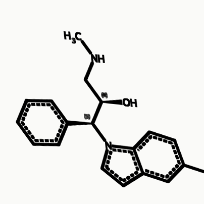 CNC[C@@H](O)[C@H](c1ccccc1)n1ccc2cc(O)ccc21